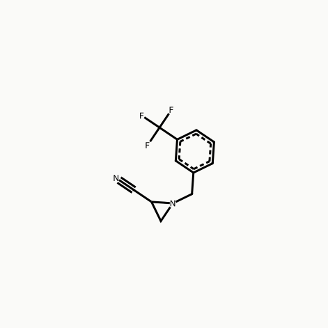 N#CC1CN1Cc1cccc(C(F)(F)F)c1